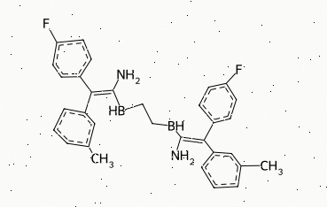 Cc1cccc(C(=C(N)BCCBC(N)=C(c2ccc(F)cc2)c2cccc(C)c2)c2ccc(F)cc2)c1